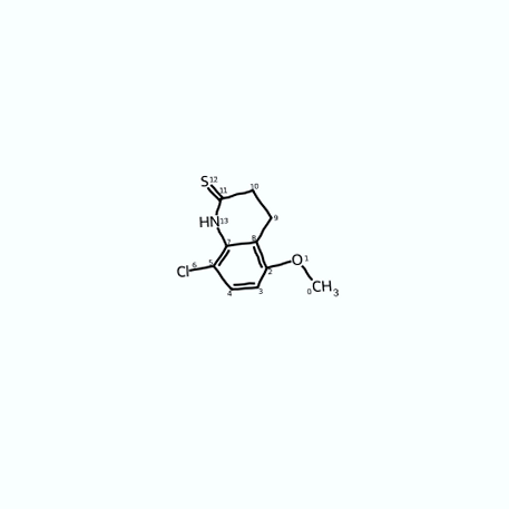 COc1ccc(Cl)c2c1CCC(=S)N2